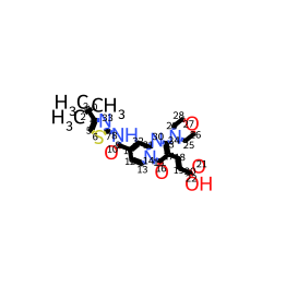 CC(C)(C)c1csc(NC(=O)c2ccn3c(=O)c(C=CC(=O)O)c(N4CCOCC4)nc3c2)n1